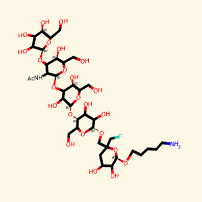 CC(=O)NC1C(O[C@@H]2OC(CO)[C@H](O)C(O)C2O)[C@@H](O)C(CO)O[C@H]1OC1C(O)[C@@H](O[C@H]2C(CO)O[C@@H](OCC3(CF)CC(O)C(O)[C@H](OCCCCCN)O3)C(O)C2O)OC(CO)[C@@H]1O